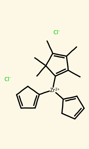 CC1=C(C)C(C)(C)[C]([Zr+2]([C]2=CC=CC2)[C]2=CC=CC2)=C1C.[Cl-].[Cl-]